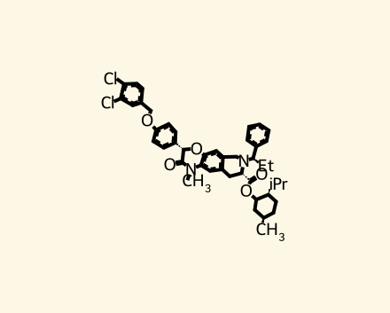 CC[C@H](c1ccccc1)N1Cc2cc3c(cc2C[C@H]1C(=O)OC1C[C@H](C)CC[C@H]1C(C)C)N(C)C(=O)[C@H](c1ccc(OCc2ccc(Cl)c(Cl)c2)cc1)O3